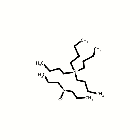 CCCC[N+](CCCC)(CCCC)CCCC.CCCN([O-])CCC